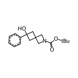 CC(C)(C)OC(=O)N1CC2(C1)CC(O)(c1ccccc1)C2